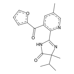 Cc1cnc(C2=NC(C)(C(C)C)C(=O)N2)c(C(=O)c2ccco2)c1